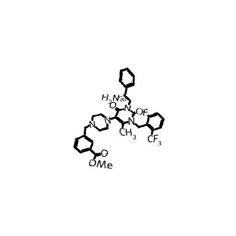 COC(=O)c1cccc(CN2CCN(c3c(C)n(Cc4c(F)cccc4C(F)(F)F)c(=O)n(C[C@H](N)c4ccccc4)c3=O)CC2)c1